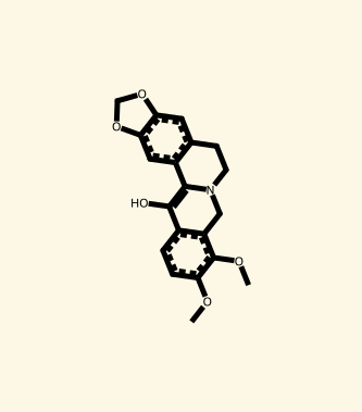 COc1ccc2c(c1OC)CN1CCc3cc4c(cc3C1=C2O)OCO4